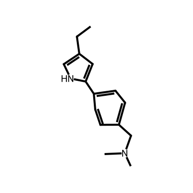 CCc1c[nH]c(-c2ccc(CN(C)C)cc2)c1